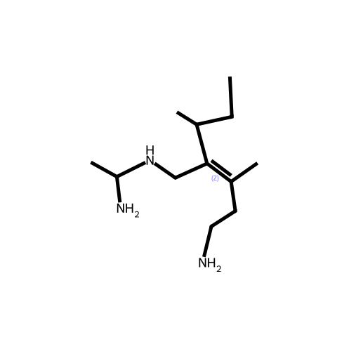 CCC(C)/C(CNC(C)N)=C(\C)CCN